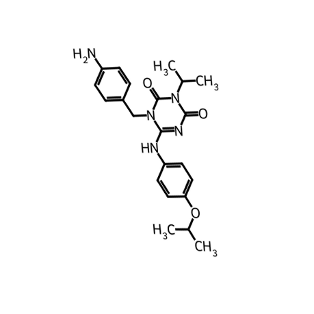 CC(C)Oc1ccc(Nc2nc(=O)n(C(C)C)c(=O)n2Cc2ccc(N)cc2)cc1